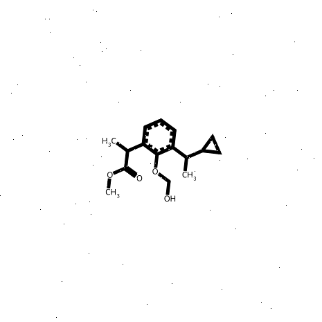 COC(=O)C(C)c1cccc(C(C)C2CC2)c1OCO